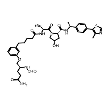 Cc1ncsc1-c1ccc([C@H](C)NC(=O)[C@@H]2C[C@@H](O)CN2C(=O)[C@@H](NC(=O)CCCCc2cccc(OC[C@H](CCC(N)=O)NC=O)c2)C(C)(C)C)cc1